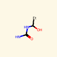 CCC(O)NC([NH])=O